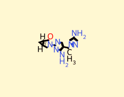 CC(c1cnc(N2C[C@H]3C[C@H]3C2=O)nc1N)n1cc(N)cn1